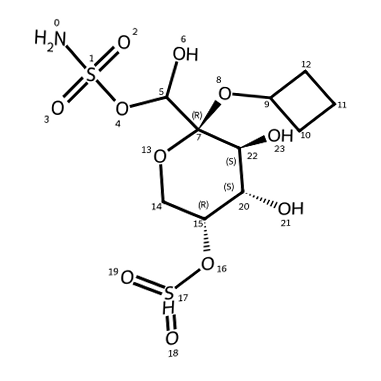 NS(=O)(=O)OC(O)[C@@]1(OC2CCC2)OC[C@@H](O[SH](=O)=O)[C@@H](O)[C@@H]1O